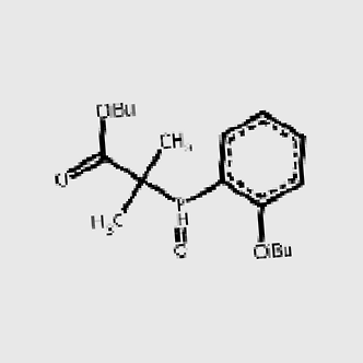 CC(C)COC(=O)C(C)(C)[PH](=O)c1ccccc1OCC(C)C